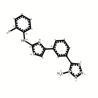 Cn1nnnc1-c1cccc(-c2csc(Nc3ccccc3F)n2)c1